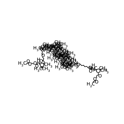 C=CC(=O)OCCOC(=O)NC1CC(C)(C)CC(C)(CC(=O)CCOCCC[Si](C)(C)O[Si](C)(C)O[Si](C)(C)O[Si](C)(C)O[Si](C)(C)O[Si](C)(C)O[Si](C)(C)O[Si](C)(C)O[Si](C)(C)O[Si](C)(C)O[Si](C)(C)O[Si](C)(C)O[Si](C)(C)O[Si](C)(C)O[Si](C)(C)O[Si](C)(C)O[Si](C)(C)O[Si](C)(C)O[Si](C)(C)O[Si](C)(C)O[Si](C)(C)O[Si](C)(C)CCCOCCCCCCOC(=O)NCC2(C)CC(C(=O)CCOC(=O)C=C)CC(C)(C)C2)C1